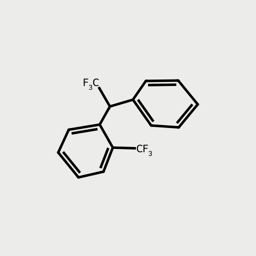 FC(F)(F)[C](c1ccccc1)c1ccccc1C(F)(F)F